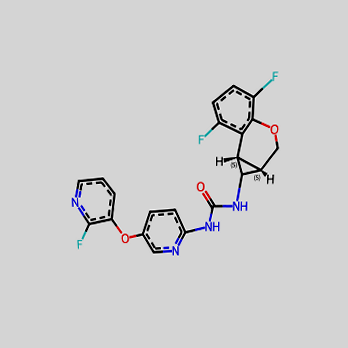 O=C(Nc1ccc(Oc2cccnc2F)cn1)NC1[C@H]2COc3c(F)ccc(F)c3[C@@H]12